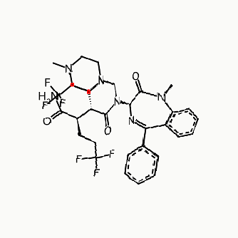 CN1CCN(CN(C(=O)[C@@H](CCC(F)(F)F)[C@@H](CCC(F)(F)F)C(N)=O)[C@@H]2N=C(c3ccccc3)c3ccccc3N(C)C2=O)CC1